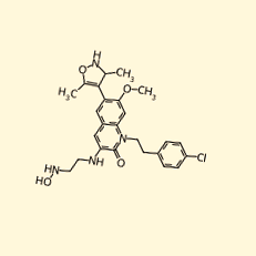 COc1cc2c(cc1C1=C(C)ONC1C)cc(NCCNO)c(=O)n2CCc1ccc(Cl)cc1